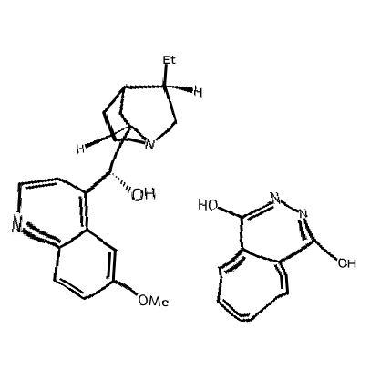 CC[C@@H]1CN2CCC1C[C@H]2[C@H](O)c1ccnc2ccc(OC)cc12.Oc1nnc(O)c2ccccc12